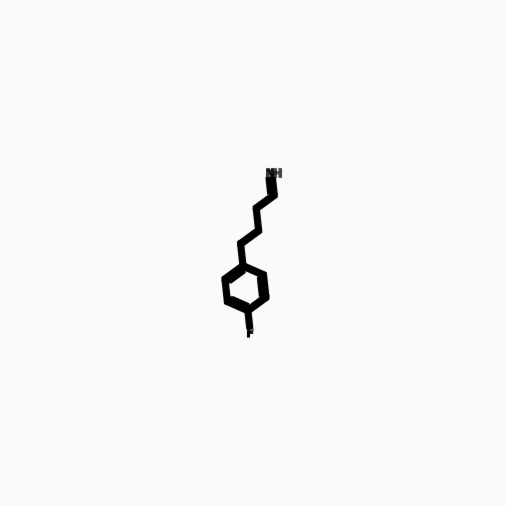 N=CCCCc1ccc(F)cc1